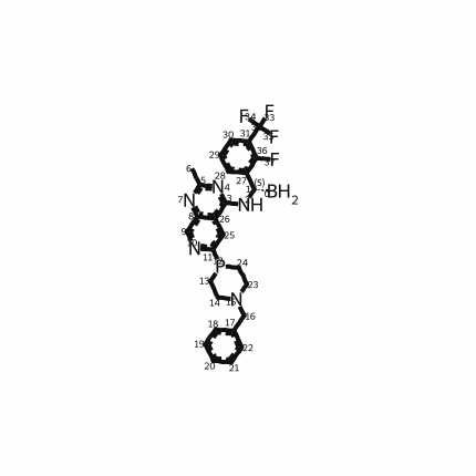 B[C@H](Nc1nc(C)nc2cnc(P3CCN(Cc4ccccc4)CC3)cc12)c1cccc(C(F)(F)F)c1F